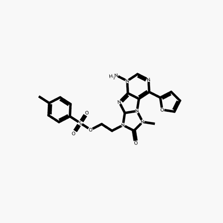 Cc1ccc(S(=O)(=O)OCCN2C(=O)N(C)N3C4=C(c5ccco5)N=CN(N)C4=NC23)cc1